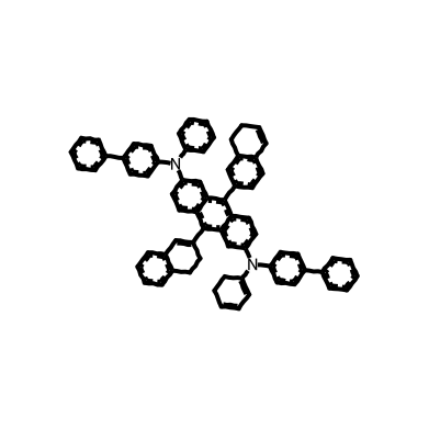 C1=CCCC(N(c2ccc(-c3ccccc3)cc2)c2ccc3c(-c4ccc5c(c4)CCC=C5)c4cc(N(c5ccccc5)c5ccc(-c6ccccc6)cc5)ccc4c(C4=Cc5ccccc5CC4)c3c2)=C1